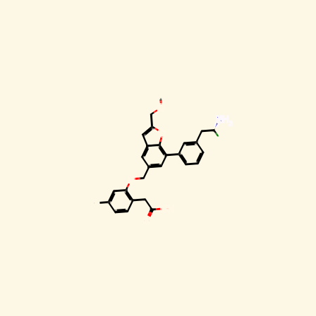 COCc1cc2cc(COc3cc(C)ccc3CC(=O)O)cc(-c3cccc(C[C@@H](N)F)c3)c2o1